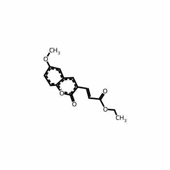 CCOC(=O)C=Cc1cc2cc(OC)ccc2oc1=O